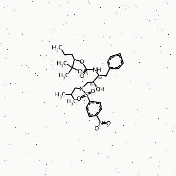 CCCC(OC(=O)N[C@@H](Cc1ccccc1)[C@@H](O)CN(CC(C)C)S(=O)(=O)c1ccc([N+](=O)[O-])cc1)C(C)(C)C